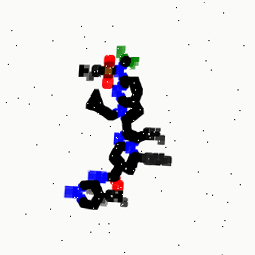 COc1cc(C(=O)N[C@@H]2CNCC[C@H]2C)cc2nc(-c3cc4ccc(N(C(F)F)S(C)(=O)=O)nc4n3CC3CC3)c(C)n12